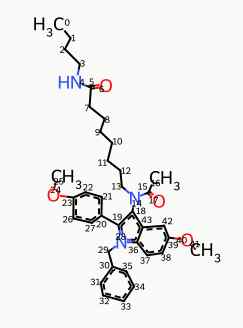 CCCCNC(=O)CCCCCCCN(C(C)=O)c1c(-c2ccc(OC)cc2)n(Cc2ccccc2)c2ccc(OC)cc12